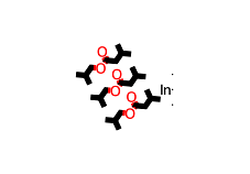 CC(C)COC(=O)CC(C)C.CC(C)COC(=O)CC(C)C.CC(C)COC(=O)CC(C)C.[In]